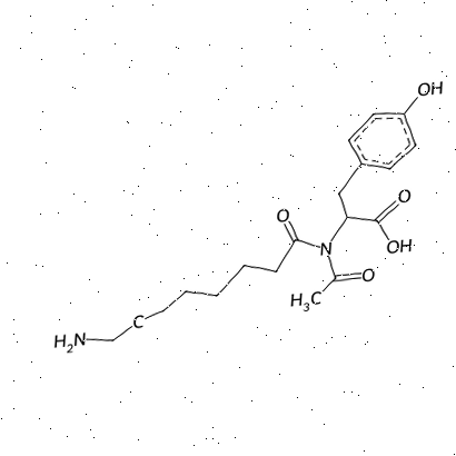 CC(=O)N(C(=O)CCCCCCCN)C(Cc1ccc(O)cc1)C(=O)O